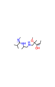 C/C=C(/O)C(C)(CNCC(C)N/C(=N\C)C(C)C)OC